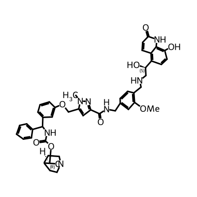 COc1cc(CNC(=O)c2cc(COc3cccc(C(NC(=O)O[C@H]4CN5CCC4CC5)c4ccccc4)c3)n(C)n2)ccc1CNC[C@@H](O)c1ccc(O)c2[nH]c(=O)ccc12